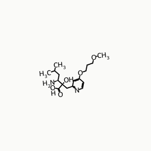 COCCCOc1ccnc(C[C@](O)(C(=O)O)[C@@H](N)CC(C)C)c1